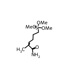 CO[Si](CCCC=C(C)C(N)=O)(OC)OC